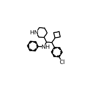 Clc1ccc(C(C2CCC2)C(Nc2ccccc2)C2CCCNC2)cc1